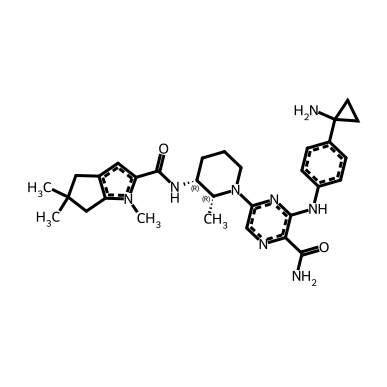 C[C@@H]1[C@H](NC(=O)c2cc3c(n2C)CC(C)(C)C3)CCCN1c1cnc(C(N)=O)c(Nc2ccc(C3(N)CC3)cc2)n1